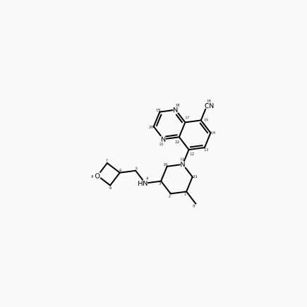 CC1CC(NCC2COC2)CN(c2ccc(C#N)c3nccnc23)C1